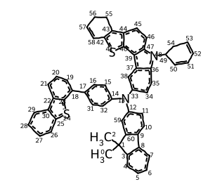 CC1(C)c2ccccc2-c2ccc(N(c3ccc(-c4cccc5c4sc4ccccc45)cc3)c3ccc4c(c3)c3c5sc6c(c5ccc3n4C3C=CC=CC3)CCC=C6)cc21